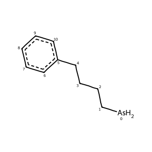 [AsH2]CCCCc1ccccc1